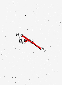 CCCCCCCCCCCCCOC(=O)CCCCC(CCCCCCCCCC)NCCN(C)C